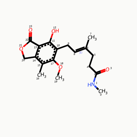 CNC(=O)CC/C(C)=C/Cc1c(O)c2c(c(C)c1OC)COC2=O